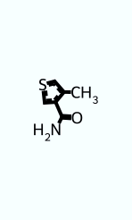 Cc1cscc1C(N)=O